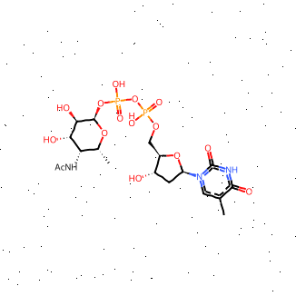 CC(=O)N[C@@H]1[C@H](O)[C@@H](O)[C@@H](OP(=O)(O)OP(=O)(O)OC[C@H]2O[C@@H](n3cc(C)c(=O)[nH]c3=O)C[C@@H]2O)O[C@@H]1C